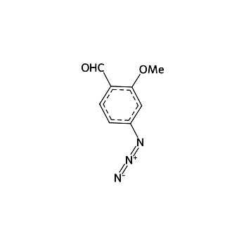 COc1cc(N=[N+]=[N-])ccc1C=O